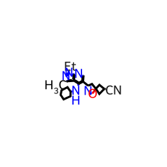 CCn1nc(C)c2c(NC3CCCCC3)c(C3=NOC4(C3)CC(C#N)C4)cnc21